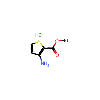 CCOC(=O)c1sccc1N.Cl